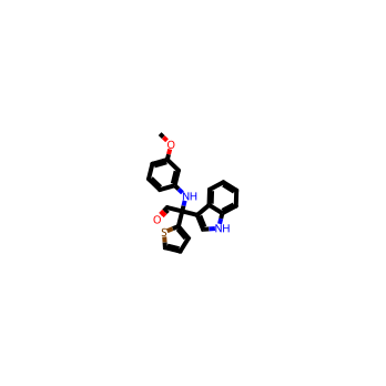 COc1cccc(NC(C=O)(c2cccs2)c2c[nH]c3ccccc23)c1